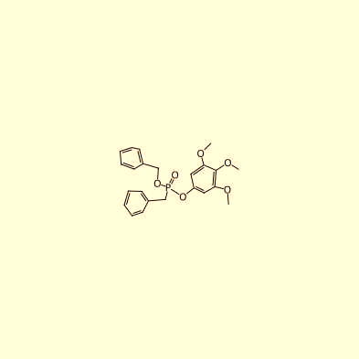 COc1cc(OP(=O)(Cc2ccccc2)OCc2ccccc2)cc(OC)c1OC